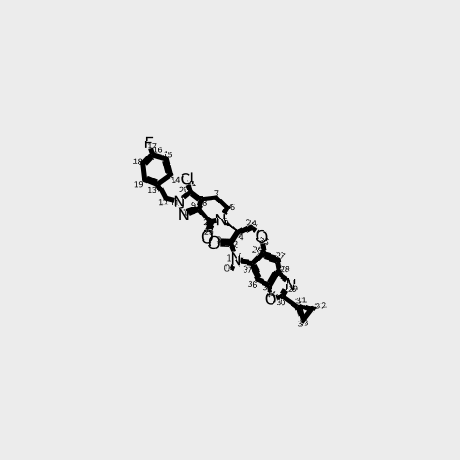 CN1C(=O)[C@@H](N2CCc3c(nn(Cc4ccc(F)cc4)c3Cl)C2=O)COc2cc3nc(C4CC4)oc3cc21